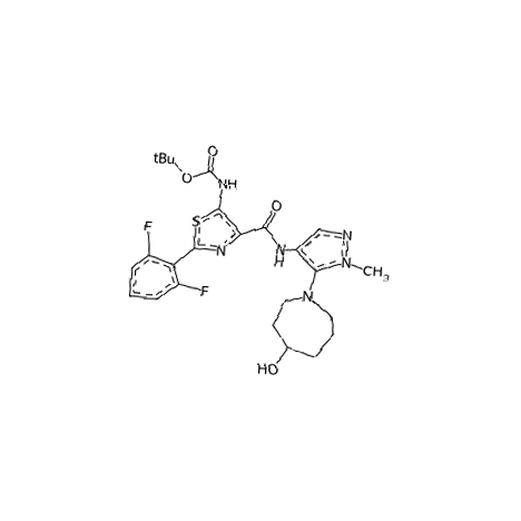 Cn1ncc(NC(=O)c2nc(-c3c(F)cccc3F)sc2NC(=O)OC(C)(C)C)c1N1CCCC(O)CC1